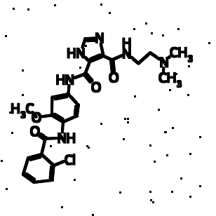 COc1cc(NC(=O)c2[nH]cnc2C(=O)NCCN(C)C)ccc1NC(=O)c1ccccc1Cl